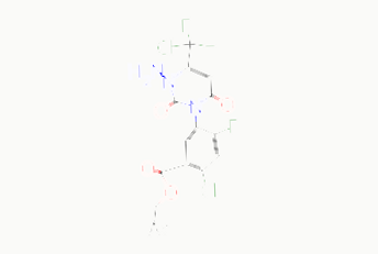 CC(=O)COC(=O)c1cc(-n2c(=O)cc(C(F)(F)Cl)n(N)c2=O)c(F)cc1Cl